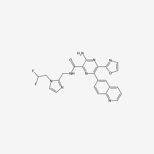 Nc1nc(-c2ncco2)c(-c2ccc3ncccc3c2)nc1C(=O)NCc1nccn1CC(F)F